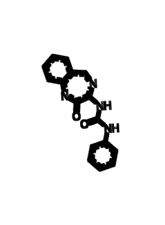 O=C(Nc1ccccc1)Nc1ncc2ccccc2nc1=O